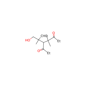 CCC(=O)C(C(C)(C=O)CO)C(C)(C)C(=O)CC